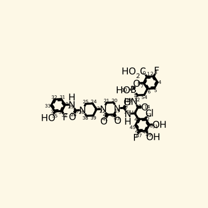 O=C(O)c1c(F)ccc2c1OB(O)[C@@H](NC(=O)C(NC(=O)N1CCN(C3CCN(C(=O)Nc4cccc(O)c4F)CC3)C(=O)C1=O)c1cc(F)c(O)c(O)c1Cl)C2